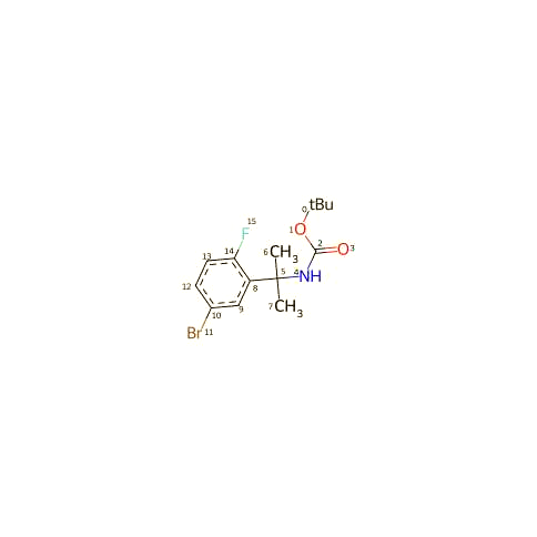 CC(C)(C)OC(=O)NC(C)(C)c1cc(Br)ccc1F